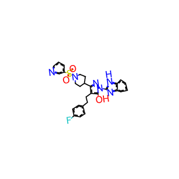 O=S(=O)(c1cccnc1)N1CCC(c2nn(-c3nc4ccccc4[nH]3)c(O)c2CCc2ccc(F)cc2)CC1